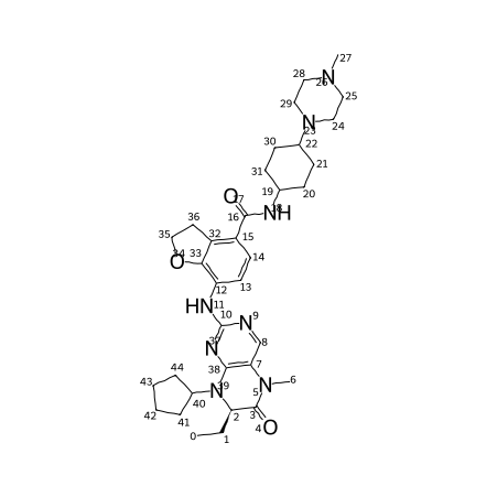 CC[C@@H]1C(=O)N(C)c2cnc(Nc3ccc(C(=O)NC4CCC(N5CCN(C)CC5)CC4)c4c3OCC4)nc2N1C1CCCC1